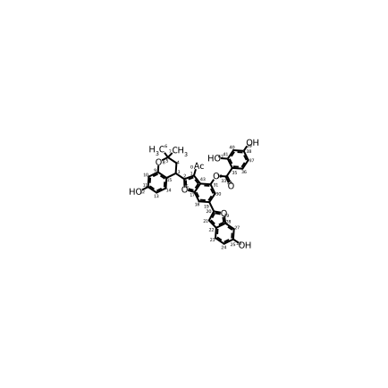 CC(=O)c1c(C2CC(C)(C)Oc3cc(O)ccc32)oc2cc(-c3cc4ccc(O)cc4o3)cc(OC(=O)c3ccc(O)cc3O)c12